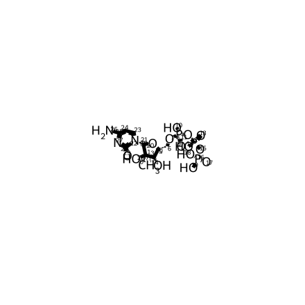 C[C@@]1(O)[C@@H](O)[C@@H](COP(=O)(O)OP(=O)(O)OP(=O)(O)O)O[C@H]1n1ccc(N)nc1=O